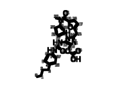 CCCCc1ccc(NC(=O)Nc2[nH]c(Cc3ccc(C(=O)N(C)c4ccccc4)o3)nc2OC(=O)O)cc1